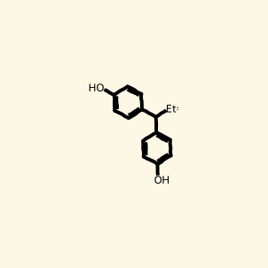 C[C]C(c1ccc(O)cc1)c1ccc(O)cc1